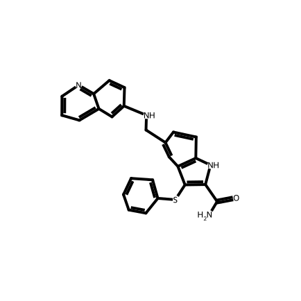 NC(=O)c1[nH]c2ccc(CNc3ccc4ncccc4c3)cc2c1Sc1ccccc1